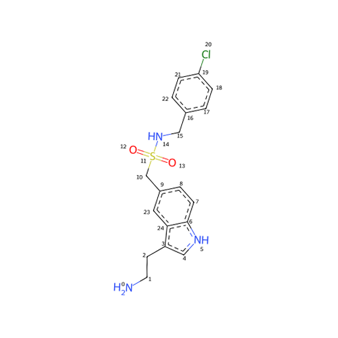 NCCc1c[nH]c2ccc(CS(=O)(=O)NCc3ccc(Cl)cc3)cc12